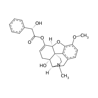 COc1ccc2c3c1O[C@@H]1C(OC(=O)[C@@H](O)c4ccccc4)=CC[C@]4(O)[C@H](C2)N(C)CC[C@@]314